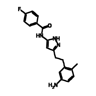 Cc1ccc(N)cc1CCc1cc(NC(=O)c2ccc(F)cc2)[nH]n1